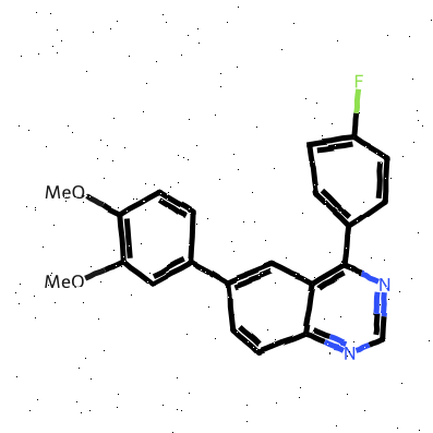 COc1ccc(-c2ccc3ncnc(-c4ccc(F)cc4)c3c2)cc1OC